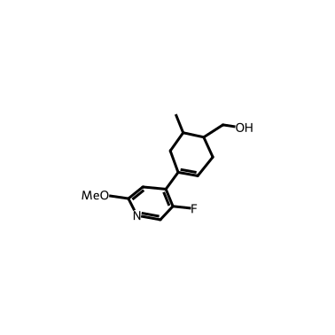 COc1cc(C2=CCC(CO)C(C)C2)c(F)cn1